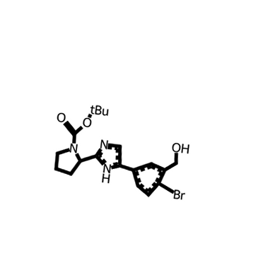 CC(C)(C)OC(=O)N1CCCC1c1ncc(-c2ccc(Br)c(CO)c2)[nH]1